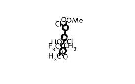 COC(=O)c1ccc(-c2ccc([C@H](C)[C@](O)(c3ccc(=O)n(C)c3)C(F)(F)F)c(Cl)c2)cc1Cl